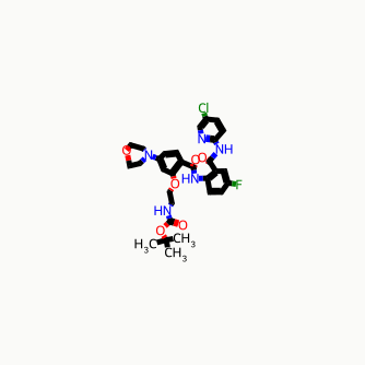 CC(C)(C)OC(=O)NCCOc1cc(N2CCOCC2)ccc1C(=O)Nc1ccc(F)cc1C(=O)Nc1ccc(Cl)cn1